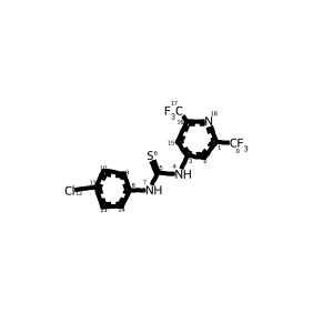 FC(F)(F)c1cc(NC(=S)Nc2ccc(Cl)cc2)cc(C(F)(F)F)n1